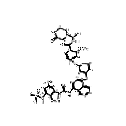 CCC(NC(=O)c1ccc(Nc2cc(Oc3ccc(NC(=O)Nc4cc(C(C)(C)C)cc(NS(C)(=O)=O)c4OC)c4ccccc34)ccn2)cc1OC)N1CCSC(=O)C1